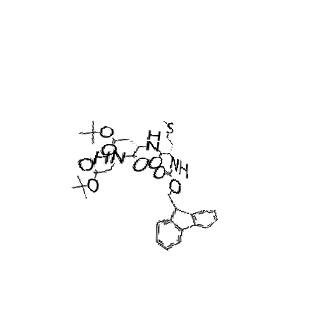 CSCC[C@H](NC(=O)OCC1c2ccccc2-c2ccccc21)C(=O)N[C@@H](CC(=O)OC(C)(C)C)C(=O)NCC(=O)OC(C)(C)C